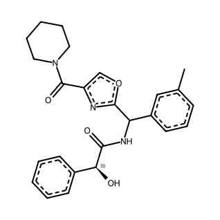 Cc1cccc(C(NC(=O)[C@@H](O)c2ccccc2)c2nc(C(=O)N3CCCCC3)co2)c1